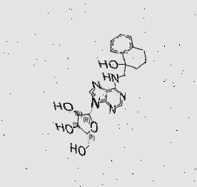 OC[C@H]1O[C@@H](n2cnc3c(NCC4(O)CCCc5ccccc54)ncnc32)[C@H](O)[C@@H]1O